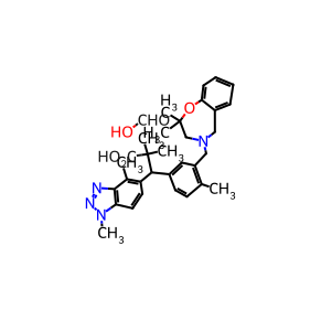 Cc1ccc(C(c2ccc3c(nnn3C)c2C)C(C)(C)C(=O)O)cc1CN1Cc2ccccc2OC(C)(C)C1.O=CO